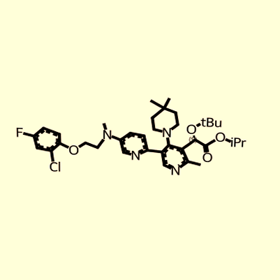 Cc1ncc(-c2ccc(N(C)CCOc3ccc(F)cc3Cl)cn2)c(N2CCC(C)(C)CC2)c1[C@H](OC(C)(C)C)C(=O)OC(C)C